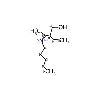 CCCCC/N=C(/C)C(CC)CO